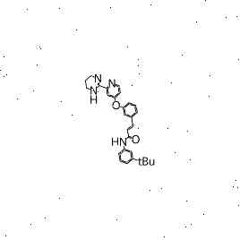 CC(C)(C)c1cccc(NC(=O)C=Cc2cccc(Oc3ccnc(C4=NCCCN4)c3)c2)c1